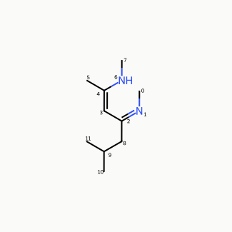 C/N=C(\C=C(\C)NC)CC(C)C